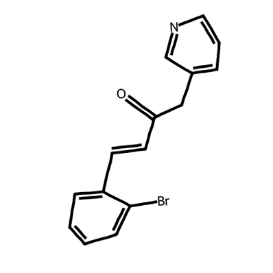 O=C(C=Cc1ccccc1Br)Cc1cccnc1